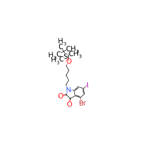 CC(C)(C)[Si](C)(C)OCCCCCN1C(=O)C(=O)c2c(Br)cc(I)cc21